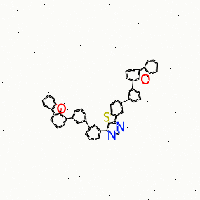 c1cc(-c2cccc(-c3ncnc4c3sc3ccc(-c5cccc(-c6cccc7c6oc6ccccc67)c5)cc34)c2)cc(-c2cccc3c2oc2ccccc23)c1